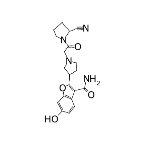 N#CC1CCCN1C(=O)CN1CCC(c2oc3cc(O)ccc3c2C(N)=O)C1